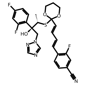 C[C@H](SC1(/C=C/C=C/c2ccc(C#N)cc2F)OCCCO1)[C@](O)(Cn1cncn1)c1ccc(F)cc1F